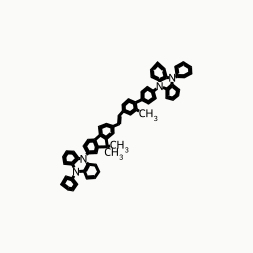 Cc1cc(/C=C/c2ccc3c(c2)C(C)(C)c2cc(N4C5=C(C=CCC5)N(c5ccccc5)c5ccccc54)ccc2-3)ccc1-c1ccc(N2c3ccccc3N(c3ccccc3)c3ccccc32)cc1